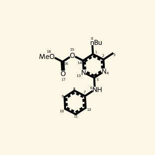 CCCCc1c(C)nc(Nc2ccccc2)nc1OC(=O)OC